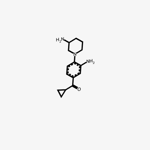 Nc1cc(C(=O)C2CC2)ccc1N1CCCC(N)C1